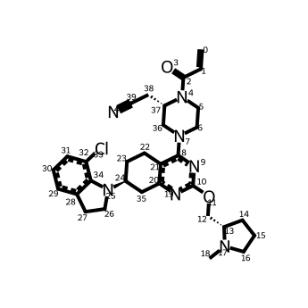 C=CC(=O)N1CCN(c2nc(OC[C@@H]3CCCN3C)nc3c2CC[C@H](N2CCc4cccc(Cl)c42)C3)C[C@@H]1CC#N